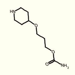 NC(=O)OCCCOC1CCNCC1